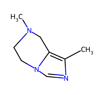 Cc1ncn2c1CN(C)CC2